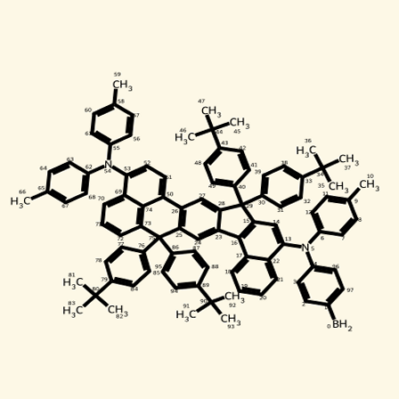 Bc1ccc(N(c2ccc(C)cc2)c2cc3c(c4ccccc24)-c2cc4c(cc2C3(c2ccc(C(C)(C)C)cc2)c2ccc(C(C)(C)C)cc2)-c2ccc(N(c3ccc(C)cc3)c3ccc(C)cc3)c3cccc(c23)C4(c2ccc(C(C)(C)C)cc2)c2ccc(C(C)(C)C)cc2)cc1